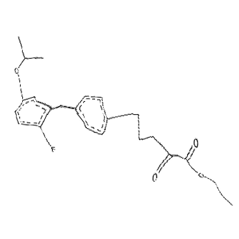 CCOC(=O)C(=O)CCCc1ccc(-c2cc(OC(C)C)ccc2F)cc1